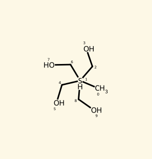 C[SH](CO)(CO)(CO)CO